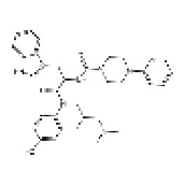 COc1ccc2c(c1)CC(CN(C)C)CN2C(=O)C(Cc1c[nH]c2ccccc12)NC(=O)N1CCN(c2ccccc2)CC1